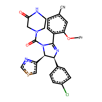 CC(C)Oc1cc(C#N)ccc1C1=N[C@@H](c2ccc(Cl)cc2)[C@@H](c2cscn2)N1C(=O)N1CCNC(=O)C1